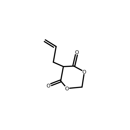 C=CCC1C(=O)OCOC1=O